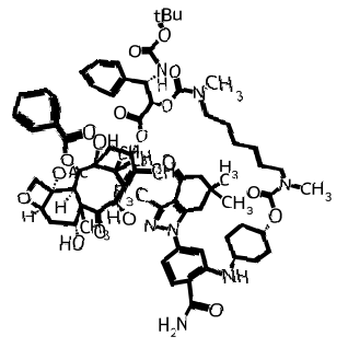 CC(=O)O[C@@]12CO[C@@H]1C[C@@H](O)C1(C)C(=O)[C@H](O)C3=C(C)[C@@H](OC(=O)[C@H](OC(=O)N(C)CCCCCCN(C)C(=O)O[C@H]4CC[C@H](Nc5cc(-n6nc(C(F)(F)F)c7c6CC(C)(C)CC7=O)ccc5C(N)=O)CC4)[C@@H](NC(=O)OC(C)(C)C)c4ccccc4)C[C@@](O)([C@@H](OC(=O)c4ccccc4)[C@@H]12)C3(C)C